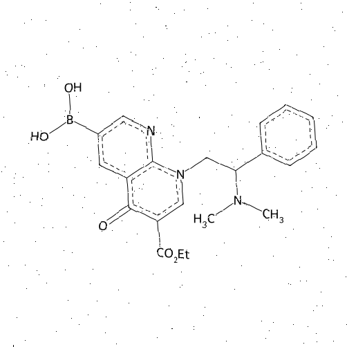 CCOC(=O)c1cn(CC(c2ccccc2)N(C)C)c2ncc(B(O)O)cc2c1=O